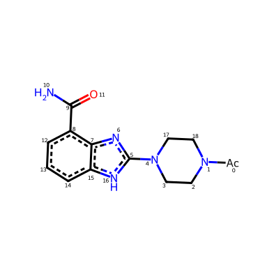 CC(=O)N1CCN(c2nc3c(C(N)=O)cccc3[nH]2)CC1